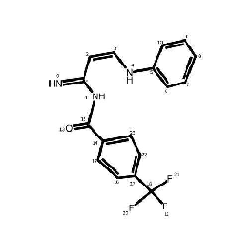 N=C(/C=C\Nc1ccccc1)NC(=O)c1ccc(C(F)(F)F)cc1